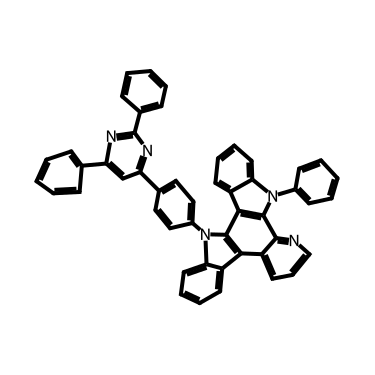 c1ccc(-c2cc(-c3ccc(-n4c5ccccc5c5c6cccnc6c6c(c7ccccc7n6-c6ccccc6)c54)cc3)nc(-c3ccccc3)n2)cc1